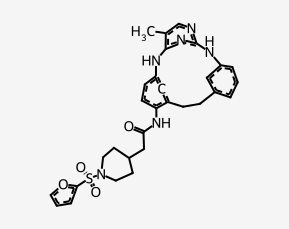 Cc1cnc2nc1Nc1ccc(NC(=O)CC3CCN(S(=O)(=O)c4ccco4)CC3)c(c1)CCc1cccc(c1)N2